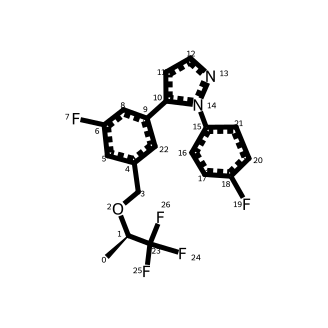 C[C@@H](OCc1cc(F)cc(-c2c[c]nn2-c2ccc(F)cc2)c1)C(F)(F)F